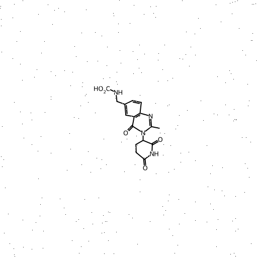 Cc1nc2ccc(CNC(=O)O)cc2c(=O)n1C1CCC(=O)NC1=O